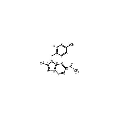 N#Cc1ccc(Cn2c(Cl)nc3ccc(OC(F)(F)F)cc32)nc1